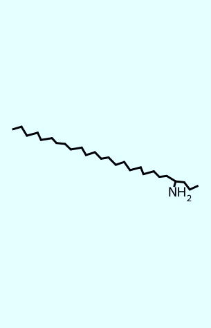 CCCCCCCCCCCCCCCCCCCCCCC(N)CCC